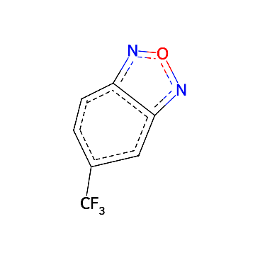 FC(F)(F)c1ccc2nonc2c1